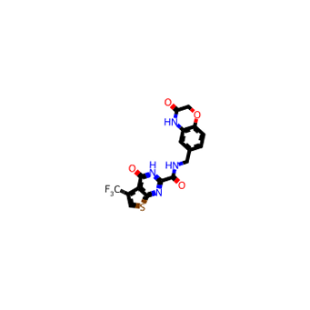 O=C1COc2ccc(CNC(=O)c3nc4scc(C(F)(F)F)c4c(=O)[nH]3)cc2N1